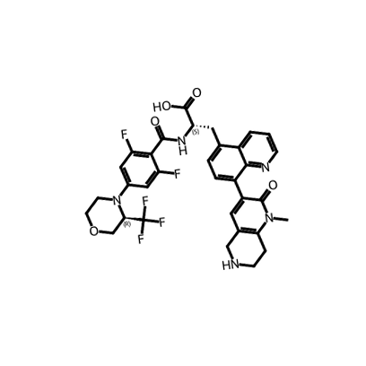 Cn1c2c(cc(-c3ccc(C[C@H](NC(=O)c4c(F)cc(N5CCOC[C@@H]5C(F)(F)F)cc4F)C(=O)O)c4cccnc34)c1=O)CNCC2